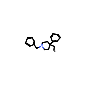 [C-]#[N+]CC1(c2ccccc2)CCN(Cc2ccccc2)CC1